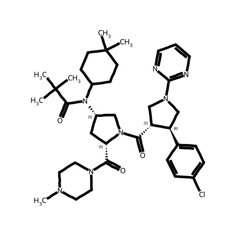 CN1CCN(C(=O)[C@@H]2C[C@H](N(C(=O)C(C)(C)C)C3CCC(C)(C)CC3)CN2C(=O)[C@@H]2CN(c3ncccn3)C[C@H]2c2ccc(Cl)cc2)CC1